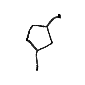 IC1CCC(I)C1